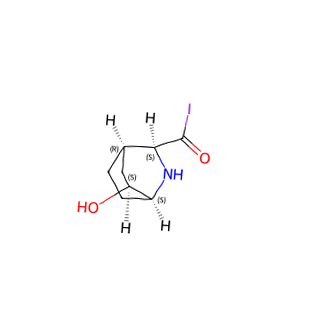 O=C(I)[C@H]1N[C@H]2CC[C@@H]1C[C@@H]2O